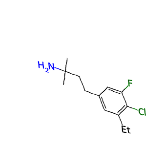 CCc1cc(CCC(C)(C)N)cc(F)c1Cl